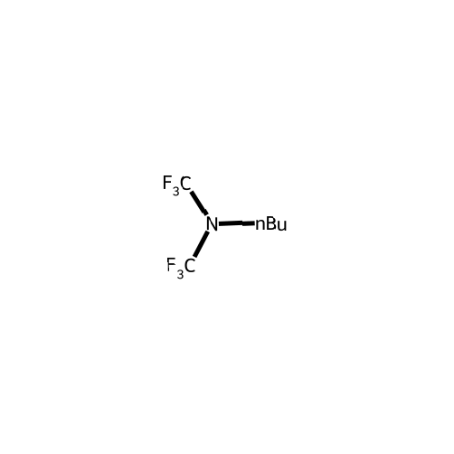 CCCCN(C(F)(F)F)C(F)(F)F